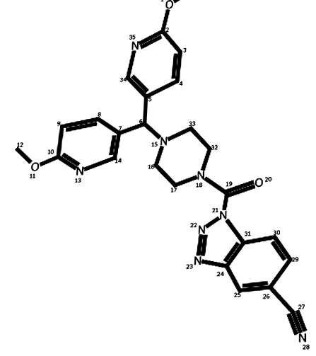 COc1ccc(C(c2ccc(OC)nc2)N2CCN(C(=O)n3nnc4cc(C#N)ccc43)CC2)cn1